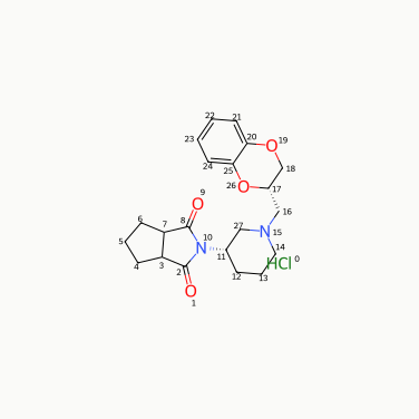 Cl.O=C1C2CCCC2C(=O)N1[C@H]1CCCN(C[C@H]2COc3ccccc3O2)C1